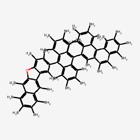 Bc1c(-c2c3c(B)c(B)c(B)c(B)c3c(-c3c(B)c4c(B)c(B)c5c(B)c(B)c(B)c(B)c5c4c4c(B)c(B)c(B)c(B)c34)c3c(B)c(B)c(B)c(B)c23)c(B)c2c(oc3c(B)c4c(B)c(B)c(B)c(B)c4c(B)c32)c1B